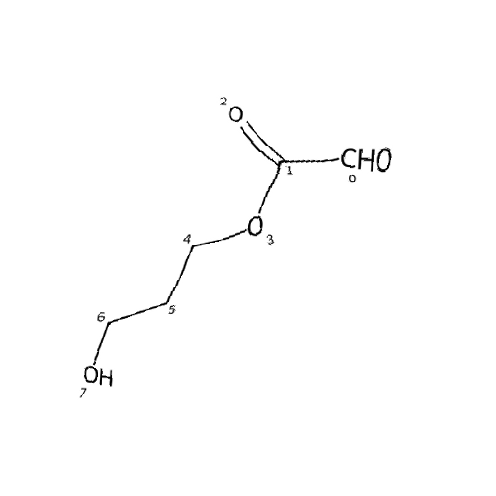 O=CC(=O)OCCCO